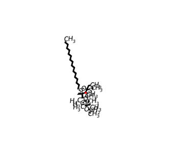 CCCCCCCCCCCCCCCCCC[Si]1(OC(CC)(CC)SC)CC1(CC)C(C)O[Si](C)(C)C(C)(CC)O[SiH2]C